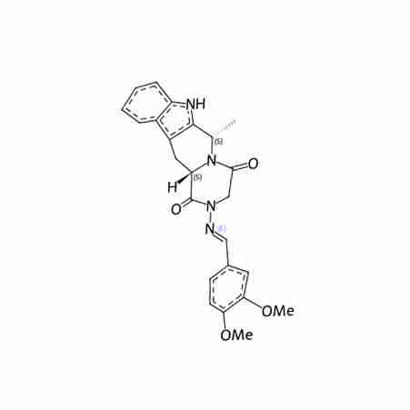 COc1ccc(/C=N/N2CC(=O)N3[C@@H](Cc4c([nH]c5ccccc45)[C@@H]3C)C2=O)cc1OC